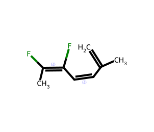 C=C(C)/C=C\C(F)=C(/C)F